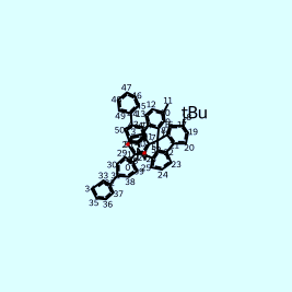 Cc1ccc2c(c1)C1(c3cc(C)ccc3-2)c2cc(C(C)(C)C)ccc2-c2cccc(N(c3ccc(-c4ccccc4)cc3)c3ccc(-c4ccccc4)cc3)c21